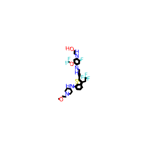 COCCN1CCC(Nc2cccc3c(CC(F)(F)F)c(C#CCNc4cc(F)c(NCCO)cc4OC(F)F)sc23)CC1